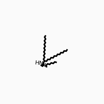 CCCCCCCCCCCCCCC(CCCCCCCCCCCCCC)c1[nH]cc[n+]1C(C)CCCCCC